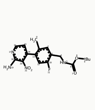 Cc1cc(CNC(=O)OC(C)(C)C)c(F)cc1-c1ccnc(N)c1[N+](=O)[O-]